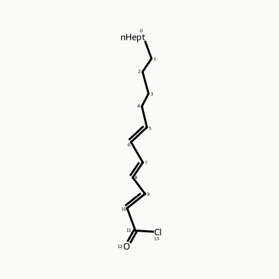 CCCCCCCCCCC/C=C/C=C/C=C/C(=O)Cl